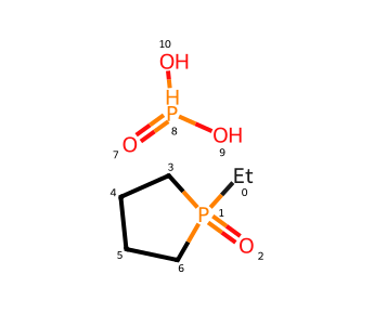 CCP1(=O)CCCC1.O=[PH](O)O